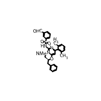 CNC[C@H](Cc1ccccc1)Oc1cc(-c2c(C)cccc2C)nc(NS(=O)(=O)c2cccc(C=O)c2)n1